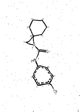 N#Cc1ccc(NC(=O)N2CC23CCCCC3)cc1